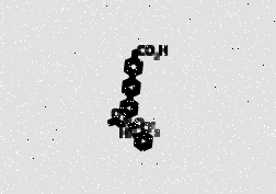 CC1CN(C(=O)Nc2ccccc2C(F)(F)F)c2ccc(-c3ccc(C4CCC(CC(=O)O)CC4)cc3)cc2O1